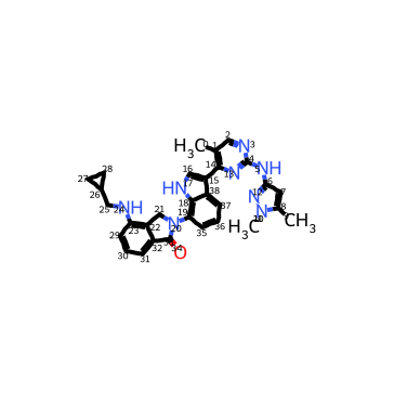 Cc1cnc(Nc2cc(C)n(C)n2)nc1-c1c[nH]c2c(N3Cc4c(NCC5CC5)cccc4C3=O)cccc12